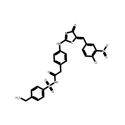 CCc1ccc(S(=O)(=O)NC(=O)Cc2ccc(NC3=NC(=O)/C(=C/c4ccc(Cl)c([N+](=O)[O-])c4)S3)cc2)cc1